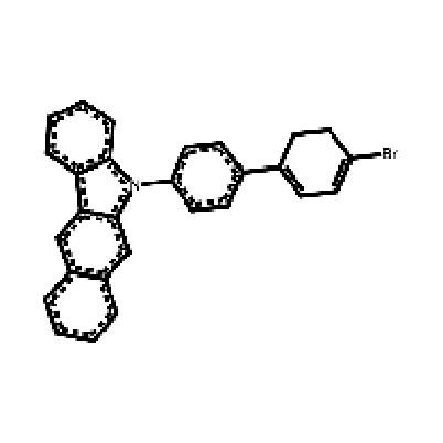 BrC1=CC=C(c2ccc(-n3c4ccccc4c4cc5ccccc5cc43)cc2)CC1